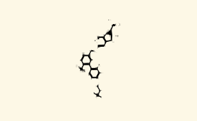 CC(C)(O)CCOc1ccc(-c2cc(COc3cc4c(cn3)C3=C(C(=O)O)[C@@H]3C4)c(F)cc2C(F)(F)F)c(F)c1